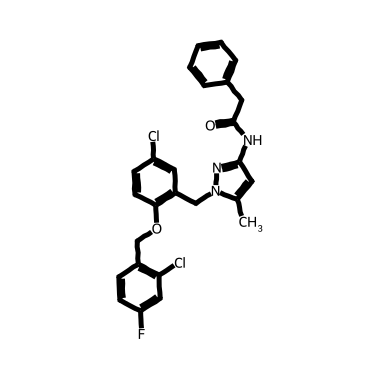 Cc1cc(NC(=O)Cc2ccccc2)nn1Cc1cc(Cl)ccc1OCc1ccc(F)cc1Cl